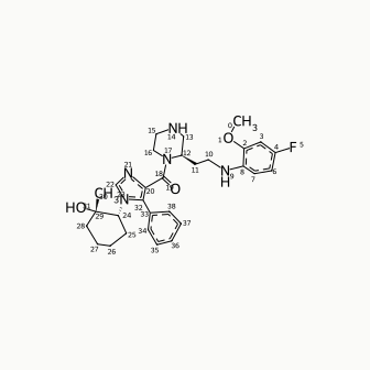 COc1cc(F)ccc1NCC[C@@H]1CNCCN1C(=O)c1ncn([C@@H]2CCCC[C@]2(C)O)c1-c1ccccc1